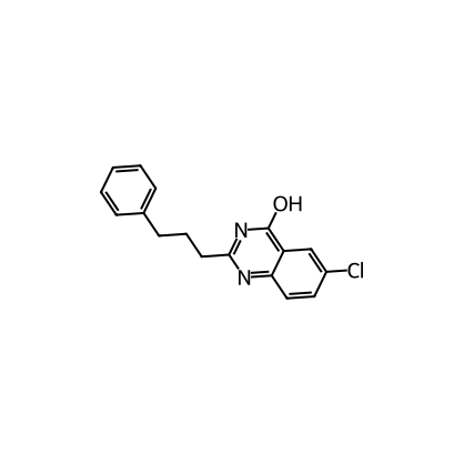 Oc1nc(CCCc2ccccc2)nc2ccc(Cl)cc12